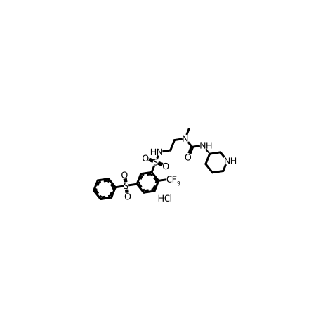 CN(CCNS(=O)(=O)c1cc(S(=O)(=O)c2ccccc2)ccc1C(F)(F)F)C(=O)N[C@@H]1CCCNC1.Cl